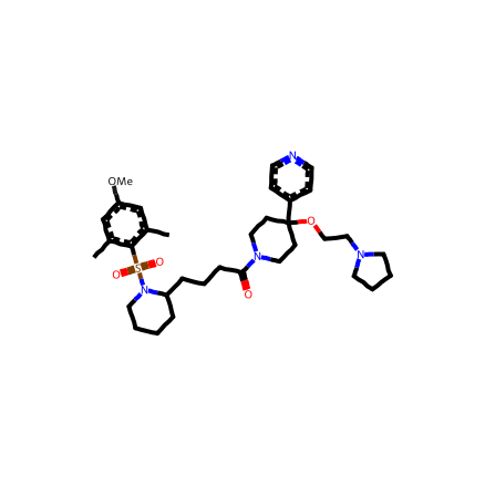 COc1cc(C)c(S(=O)(=O)N2CCCCC2CCCC(=O)N2CCC(OCCN3CCCC3)(c3ccncc3)CC2)c(C)c1